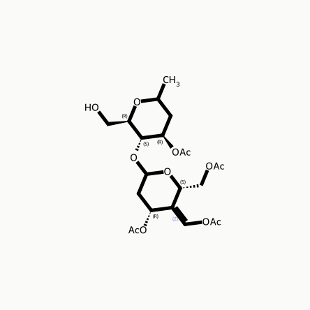 CC(=O)O/C=C1/[C@H](OC(C)=O)CC(O[C@H]2[C@H](OC(C)=O)CC(C)O[C@@H]2CO)O[C@@H]1COC(C)=O